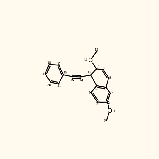 COc1ccc2c(c1)C=CC(OC)C2C#Cc1ccccc1